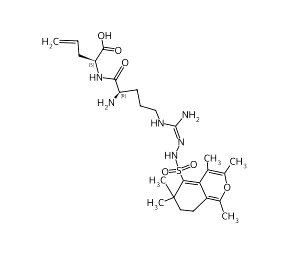 C=CC[C@H](NC(=O)[C@H](N)CCCNC(N)=NNS(=O)(=O)C1=C2C(C)=C(C)OC(C)=C2CCC1(C)C)C(=O)O